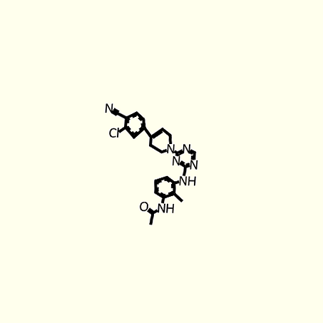 CC(=O)Nc1cccc(Nc2ncnc(N3CC=C(c4ccc(C#N)c(Cl)c4)CC3)n2)c1C